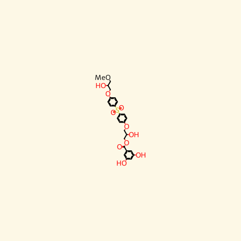 COCC(O)COc1ccc(S(=O)(=O)c2ccc(OCC(O)COC(=O)c3cc(O)cc(O)c3)cc2)cc1